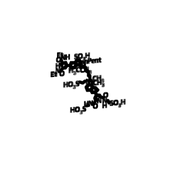 CCCCCN1/C(=C/C=C/C=C/C2=[N+](CCCS(=O)(=O)O)c3ccc4cc(-c5cc(C(=O)NCCS(=O)(=O)O)nc(C(=O)NCCS(=O)(=O)O)c5)ccc4c3C2(C)C)C(C)(C)c2c1cc(S(=O)(=O)O)c1cc(-c3cc(C(=O)NCC)nc(C(=O)NCC)c3)ccc21